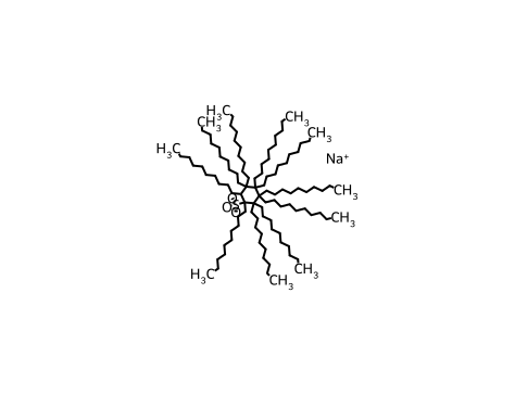 CCCCCCCCCCC1C(CCCCCCCCCC)(CCCCCCCCCC)C(CCCCCCCCCC)(CCCCCCCCCC)C(CCCCCCCCCC)(CCCCCCCCCC)C(CCCCCCCCCC)(CCCCCCCCCC)C1(CCCCCCCCCC)S(=O)(=O)[O-].[Na+]